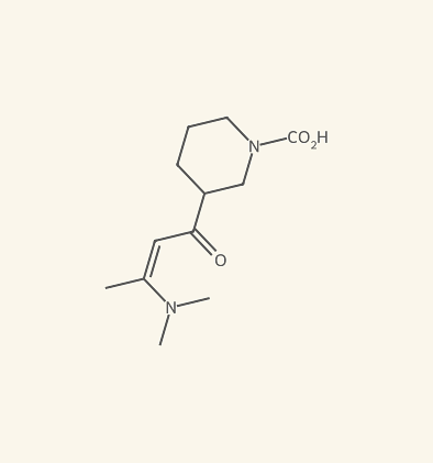 CC(=CC(=O)C1CCCN(C(=O)O)C1)N(C)C